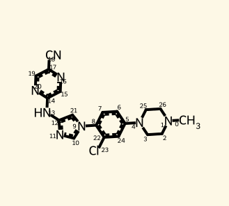 CN1CCN(c2ccc(-n3cnc(Nc4cnc(C#N)cn4)c3)c(Cl)c2)CC1